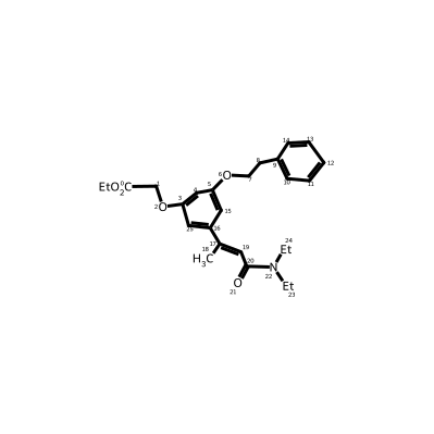 CCOC(=O)COc1cc(OCCc2ccccc2)cc(C(C)=CC(=O)N(CC)CC)c1